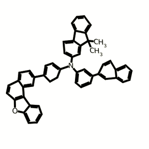 CC1(C)c2ccccc2-c2ccc(N(C3=CC=C(c4ccc5ccc6oc7ccccc7c6c5c4)CC3)c3cccc(-c4ccc5ccccc5c4)c3)cc21